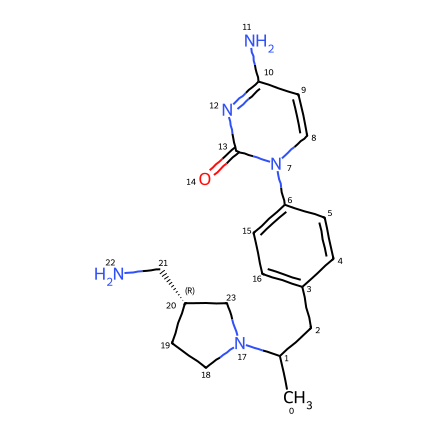 CC(Cc1ccc(-n2ccc(N)nc2=O)cc1)N1CC[C@H](CN)C1